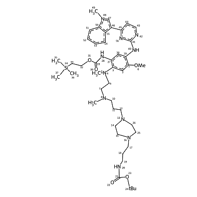 COc1cc(N(C)CCN(C)CCCN2CCN(CCCNC(=O)OC(C)(C)C)CC2)c(NC(=O)OCC[Si](C)(C)C)cc1Nc1nccc(-c2cn(C)c3ccccc23)n1